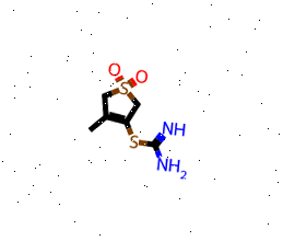 CC1=C(SC(=N)N)CS(=O)(=O)C1